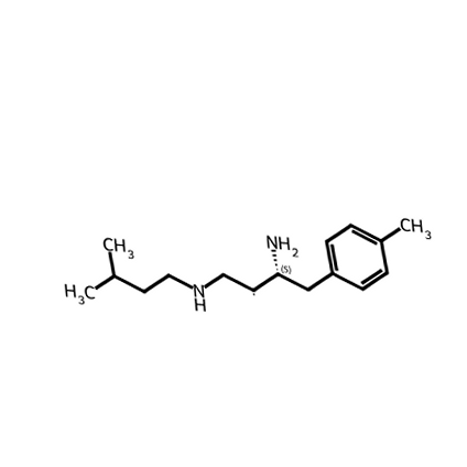 Cc1ccc(C[C@@H](N)[CH]CNCCC(C)C)cc1